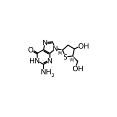 Nc1nc2c(ncn2[C@H]2CC(O)[C@@H](CO)S2)c(=O)[nH]1